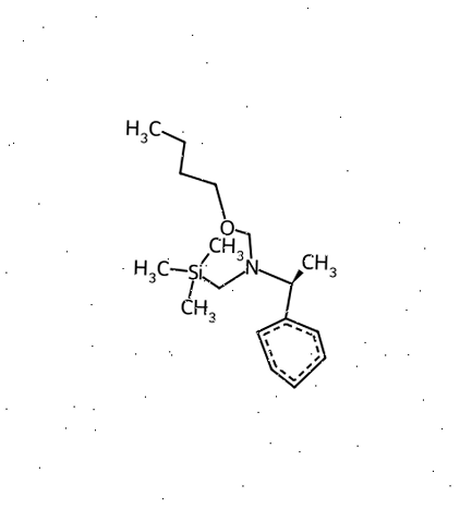 CCCCOCN(C[Si](C)(C)C)[C@@H](C)c1ccccc1